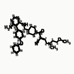 COCCN(C)C/C=C(\C#N)C(=O)N1CCC(CNc2ncnc(N)c2-c2ccc(Oc3ccccc3)cc2)CC1